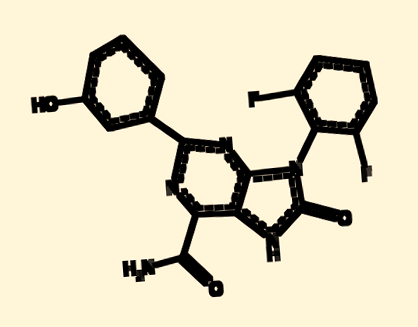 NC(=O)c1nc(-c2cccc(O)c2)nc2c1[nH]c(=O)n2-c1c(F)cccc1F